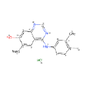 COc1cc2c(Nc3ccc(C)c(OC(C)=O)c3)ncnc2cc1O.Cl